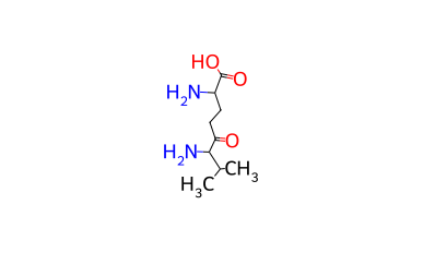 CC(C)C(N)C(=O)CCC(N)C(=O)O